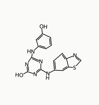 Oc1cccc(Nc2nc(O)nc(Nc3ccc4ncsc4c3)n2)c1